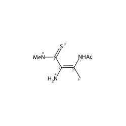 CNC(=S)/C(N)=C(/C)NC(C)=O